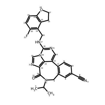 CC(C)N1Cc2cc(C#N)ccc2-c2cnc(NCc3c(F)ccc4c3CCO4)n3cnc(c23)C1=O